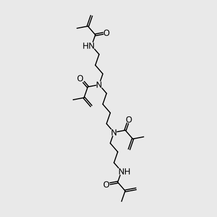 C=C(C)C(=O)NCCCN(CCCCN(CCCNC(=O)C(=C)C)C(=O)C(=C)C)C(=O)C(=C)C